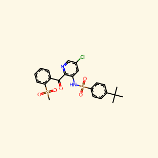 CC(C)(C)c1ccc(S(=O)(=O)Nc2cc(Cl)cnc2C(=O)c2ccccc2S(C)(=O)=O)cc1